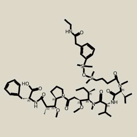 CCNC(=O)Cc1cccc([Si](C)(C)O[Si](C)(C)CCCC(=O)N(C)[C@@H](C(=O)N[C@@H](C(=O)N(C)[C@H]([C@H](C)CC)[C@H](CC(=O)N2CCC[C@@H]2[C@@H](OC)[C@H](C)C(=O)N[C@H](Cc2ccccc2)C(=O)O)OC)C(C)C)C(C)C)c1